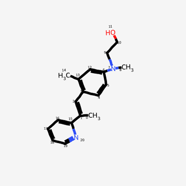 C/C(=C\c1ccc(N(C)CCO)cc1C)c1ccccn1